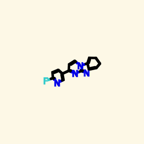 Fc1ccc(-c2ccn3c4c(nc3n2)=CCCC=4)cn1